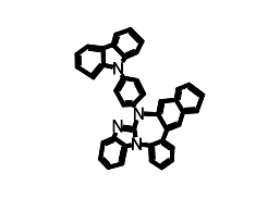 c1ccc2c(c1)-c1cc3ccccc3cc1N(c1ccc(-n3c4ccccc4c4ccccc43)cc1)c1nc3ccccc3n1-2